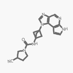 N#CC1CCN(C(=O)NC23CC(n4cnc5cnc6[nH]ccc6c54)(C2)C3)C1